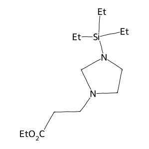 CCOC(=O)CCN1CCN([Si](CC)(CC)CC)C1